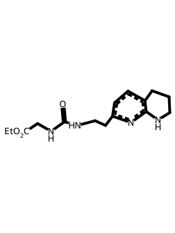 CCOC(=O)CNC(=O)NCCc1ccc2c(n1)NCCC2